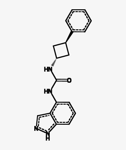 O=C(Nc1cccc2[nH]ncc12)N[C@H]1C[C@H](c2ccccc2)C1